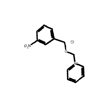 O=[N+]([O-])c1cccc(COC[n+]2ccccc2)c1.[Cl-]